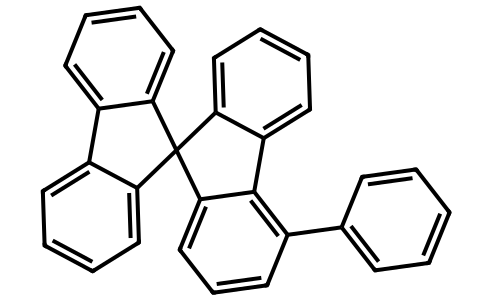 c1ccc(-c2cccc3c2-c2ccccc2C32c3ccccc3-c3ccccc32)cc1